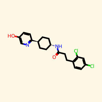 O=C(CCc1ccc(Cl)cc1Cl)N[C@H]1CC[C@H](c2ccc(O)cn2)CC1